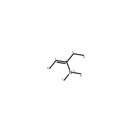 CC=C(CC)N(C)C